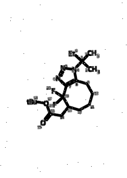 CCC(C)(C)n1nnc2c1CCCCC(CC(=O)OC(C)(C)C)C2(F)F